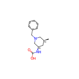 C[C@H]1C[C@@H](NC(=O)O)CN(Cc2ccccc2)C1